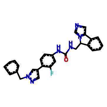 O=C(NCC1c2ccccc2-c2cncn21)Nc1ccc(-c2cnn(Cc3ccccc3)c2)c(F)c1